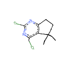 CC1(C)CCc2nc(Cl)nc(Cl)c21